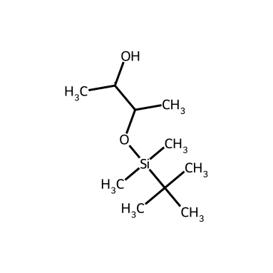 C[C](O)C(C)O[Si](C)(C)C(C)(C)C